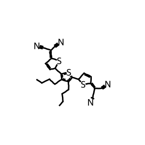 CCCCc1c(C2C=CC(=C(C#N)C#N)S2)sc(C2C=CC(=C(C#N)C#N)S2)c1CCCC